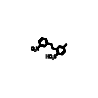 Cc1ccc(S(=O)(=O)O)c(CCc2cccc([N+](=O)[O-])c2)c1